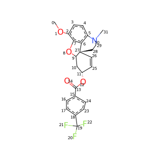 COc1ccc2c3c1OC1C[C@@H](OC(=O)c4ccc(C(F)(F)F)cc4)C=C[C@@]31CCN2C